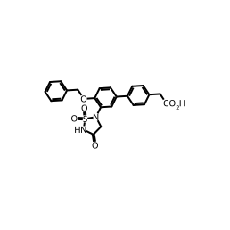 O=C(O)Cc1ccc(-c2ccc(OCc3ccccc3)c(N3CC(=O)NS3(=O)=O)c2)cc1